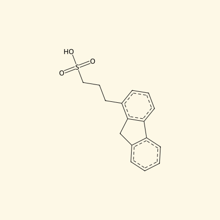 O=S(=O)(O)CCCc1cccc2c1Cc1ccccc1-2